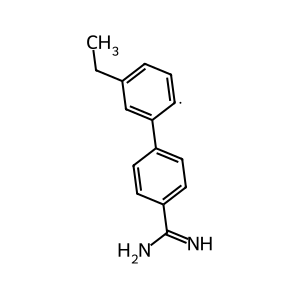 CCc1cc[c]c(-c2ccc(C(=N)N)cc2)c1